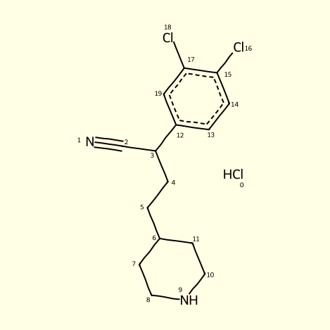 Cl.N#CC(CCC1CCNCC1)c1ccc(Cl)c(Cl)c1